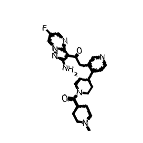 CN1CCC(C(=O)N2CCC(c3ccncc3CC(=O)c3c(N)nn4cc(F)cnc34)CC2)CC1